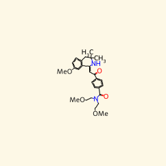 COCCN(CCOC)C(=O)c1ccc(C(=O)C=C2NC(C)(C)Cc3ccc(OC)cc32)cc1